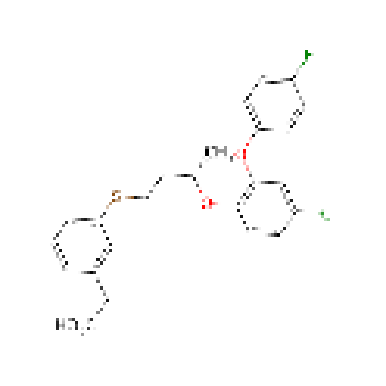 C[C@@H](CCSc1cccc(CC(=O)O)c1)Oc1ccc(Cl)cc1Oc1ccc(F)cc1